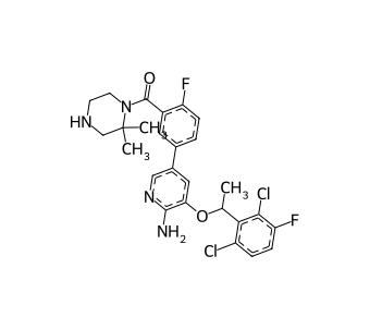 CC(Oc1cc(-c2ccc(F)c(C(=O)N3CCNCC3(C)C)c2)cnc1N)c1c(Cl)ccc(F)c1Cl